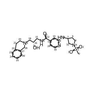 CS(=O)(=O)N1CCC(Nc2cc(C(=O)NC[C@H](O)CN3CCc4ccccc4C3)ccn2)C1